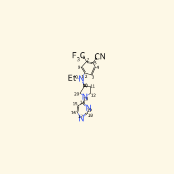 CCN(c1ccc(C#N)c(C(F)(F)F)c1)[C@H]1CCN(c2ccncn2)C1